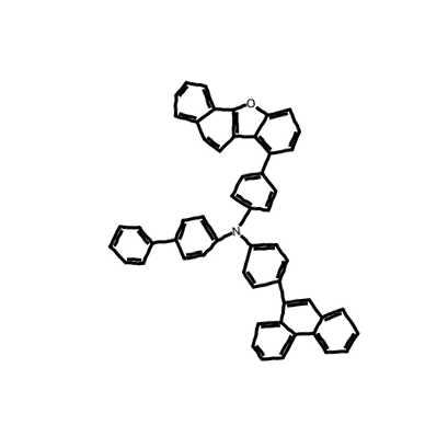 c1ccc(-c2ccc(N(c3ccc(-c4cc5ccccc5c5ccccc45)cc3)c3ccc(-c4cccc5oc6c7ccccc7ccc6c45)cc3)cc2)cc1